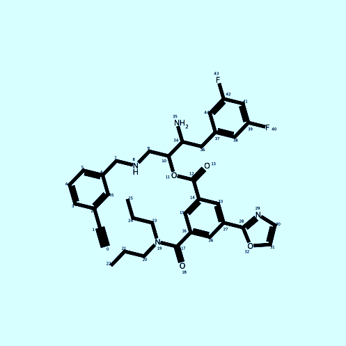 C#Cc1cccc(CNCC(OC(=O)c2cc(C(=O)N(CCC)CCC)cc(-c3ncco3)c2)C(N)Cc2cc(F)cc(F)c2)c1